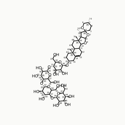 C[C@@H]1CC[C@@]2(OC1)OC1OC3C4CC=C5C[C@@H](O[C@@H]6OC(CO)[C@@H](O[C@H]7OC(CO)[C@@H](O[C@@H]8OC(CO)[C@@H](O[C@H]9OC(CO)[C@@H](O)[C@H](O)C9O)[C@H](O)C8O)[C@H](O)C7O)[C@H](O)C6O)CC[C@]5(C)C4CC[C@]3(C)C1[C@@H]2C